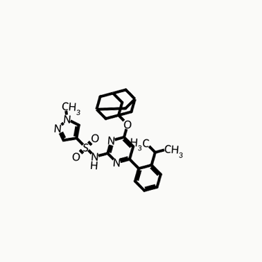 CC(C)c1ccccc1-c1cc(OC23CC4CC(CC(C4)C2)C3)nc(NS(=O)(=O)c2cnn(C)c2)n1